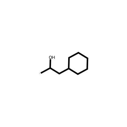 [CH2]C(O)CC1CCCCC1